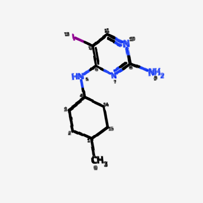 CC1CCC(Nc2nc(N)ncc2I)CC1